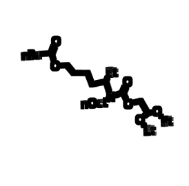 CCCCCCCCN(C(=O)OCC(OCC)OCC)C(CC)CCCCOC(=O)CCCC